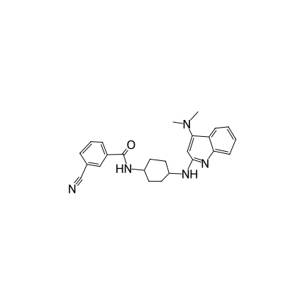 CN(C)c1cc(NC2CCC(NC(=O)c3cccc(C#N)c3)CC2)nc2ccccc12